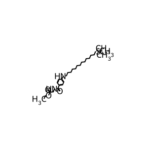 CCOC(=O)CNC(=O)c1ccc(NCCCCCCCCCCCCCC[Si](C)(C)C)cc1